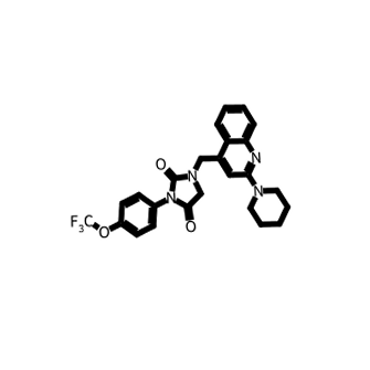 O=C1CN(Cc2cc(N3CCCCC3)nc3ccccc23)C(=O)N1c1ccc(OC(F)(F)F)cc1